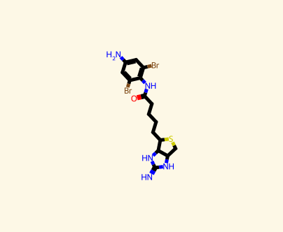 N=C1NC2CSC(CCCCC(=O)Nc3c(Br)cc(N)cc3Br)C2N1